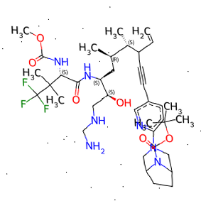 C=CC(C#Cc1ccc(N2CC3CCC(C2)N3C(=O)OC(C)(C)C)nc1)[C@@H](C)[C@H](C)C[C@H](NC(=O)[C@@H](NC(=O)OC)C(C)(C)C(F)(F)F)[C@@H](O)CNCN